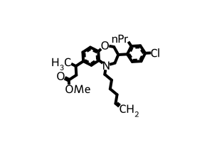 C=CCCCCN1CC(c2ccc(Cl)cc2CCC)COc2ccc(C(C)CC(=O)OC)cc21